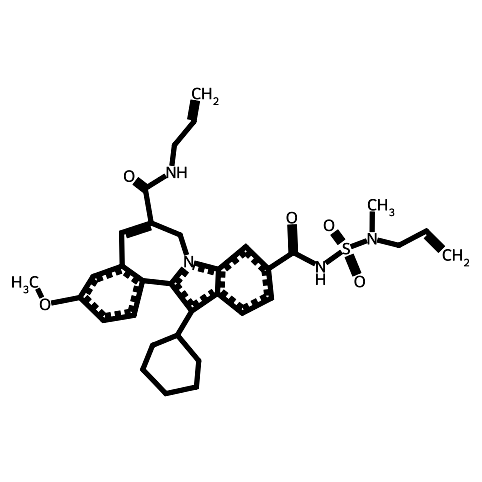 C=CCNC(=O)C1=Cc2cc(OC)ccc2-c2c(C3CCCCC3)c3ccc(C(=O)NS(=O)(=O)N(C)CC=C)cc3n2C1